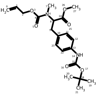 C=CCOC(=O)N(C)C(Cc1ccc(NC(=O)OC(C)(C)C)cc1)C(=O)OC